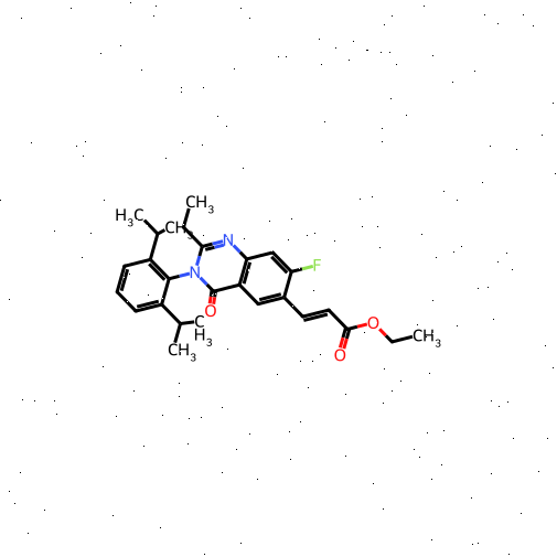 CCOC(=O)/C=C/c1cc2c(=O)n(-c3c(C(C)C)cccc3C(C)C)c(CC)nc2cc1F